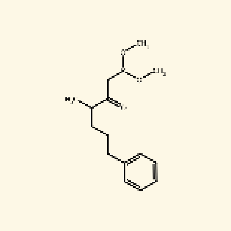 COP(CC(=O)C(C)CCCc1ccccc1)OC